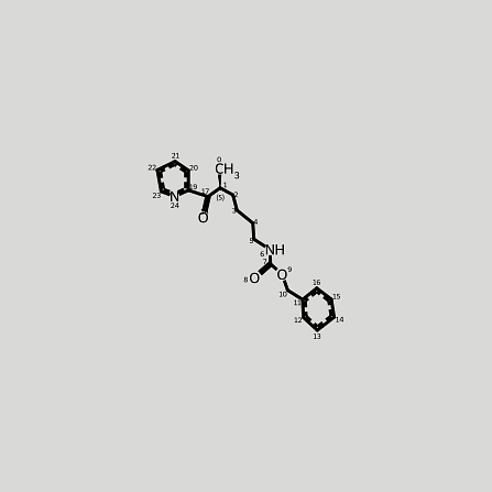 C[C@@H](CCCCNC(=O)OCc1ccccc1)C(=O)c1ccccn1